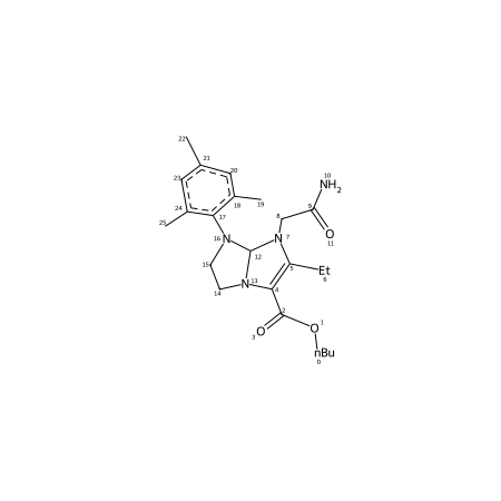 CCCCOC(=O)C1=C(CC)N(CC(N)=O)C2N1CCN2c1c(C)cc(C)cc1C